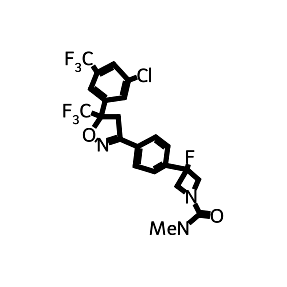 CNC(=O)N1CC(F)(c2ccc(C3=NOC(c4cc(Cl)cc(C(F)(F)F)c4)(C(F)(F)F)C3)cc2)C1